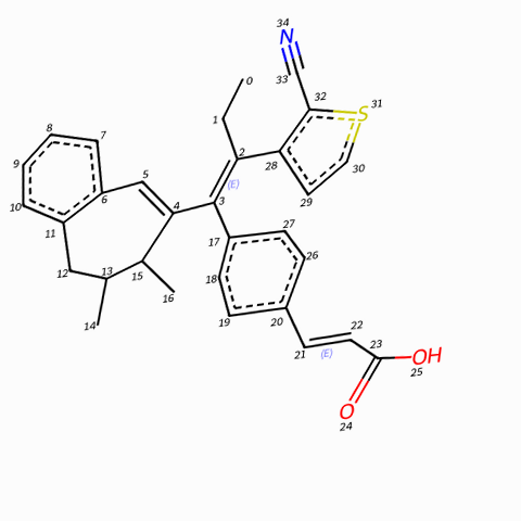 CC/C(=C(\C1=Cc2ccccc2CC(C)C1C)c1ccc(/C=C/C(=O)O)cc1)c1ccsc1C#N